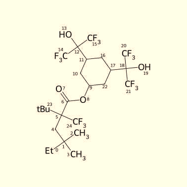 CCC(C)(C)CC(C(=O)OC1CC(C(O)(C(F)(F)F)C(F)(F)F)CC(C(O)(C(F)(F)F)C(F)(F)F)C1)(C(C)(C)C)C(F)(F)F